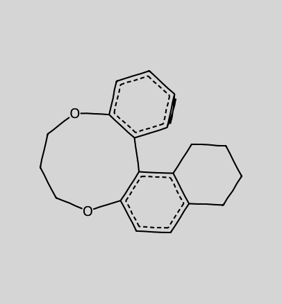 c1cc2c(c3c1CCCC3)-c1c(ccc3c1CCCC3)OCCCO2